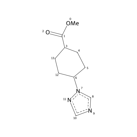 COC(=O)C1CCC(n2cncn2)CC1